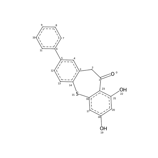 O=C1Cc2cc(-c3ccccc3)ccc2Sc2cc(O)cc(O)c21